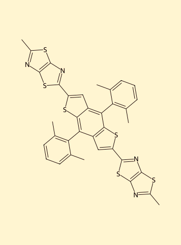 Cc1nc2sc(-c3cc4c(-c5c(C)cccc5C)c5sc(-c6nc7sc(C)nc7s6)cc5c(-c5c(C)cccc5C)c4s3)nc2s1